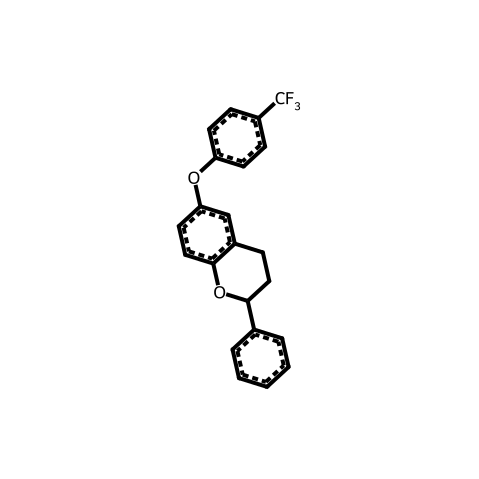 FC(F)(F)c1ccc(Oc2ccc3c(c2)CCC(c2ccccc2)O3)cc1